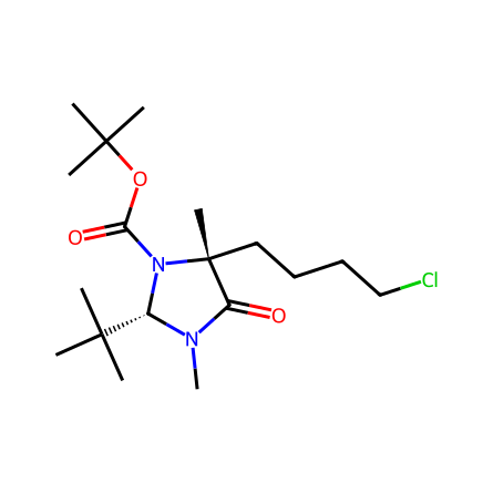 CN1C(=O)[C@@](C)(CCCCCl)N(C(=O)OC(C)(C)C)[C@H]1C(C)(C)C